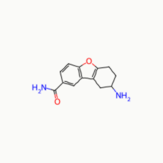 NC(=O)c1ccc2oc3c(c2c1)CC(N)CC3